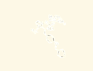 Cn1ccnc1[C@H](Cc1ccc(OCc2ccccc2)cc1)NC(=O)OC(C)(C)C